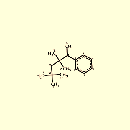 CC(c1ccccc1)C(C)(C)CC(C)(C)C